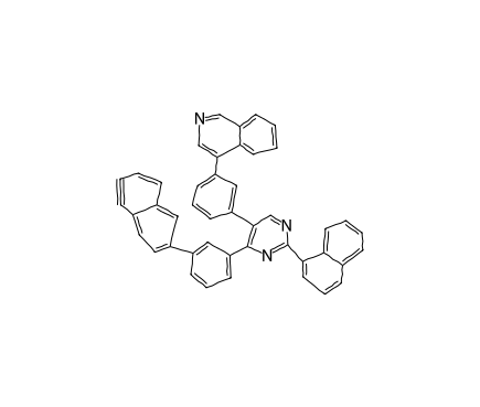 c1ccc2cc(-c3cccc(-c4nc(-c5cccc6ccccc56)ncc4-c4cccc(-c5cncc6ccccc56)c4)c3)ccc2c#1